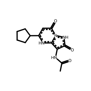 CC(=O)Nc1c(=O)[nH]n2c(=O)cc(C3CCCC3)[nH]c12